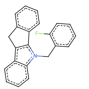 Fc1ccccc1Cn1c2c(c3ccccc31)Cc1ccccc1-2